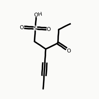 CC#CC(CS(=O)(=O)O)C(=O)CC